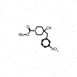 CC(C)(C)OC(=O)N1CCC(C#N)(Cc2cccc([N+](=O)[O-])c2)CC1